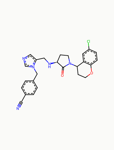 N#Cc1ccc(Cn2cncc2CN[C@H]2CCN(C3CCOc4ccc(Cl)cc43)C2=O)cc1